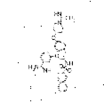 CC(=N)N1CCC(Oc2ccc(C[C@@H](COc3cccc(C(=N)N)c3)NS(=O)(=O)c3ccc4ccccc4c3)cc2)CC1